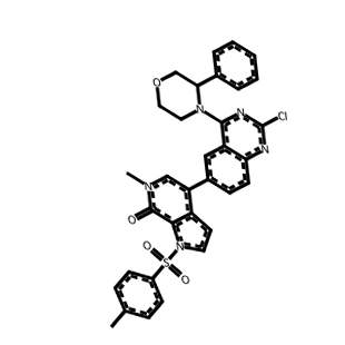 Cc1ccc(S(=O)(=O)n2ccc3c(-c4ccc5nc(Cl)nc(N6CCOCC6c6ccccc6)c5c4)cn(C)c(=O)c32)cc1